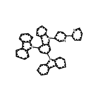 c1ccc(-c2ccc(-n3c4ccccc4c4c(-n5c6ccccc6c6ccccc65)cc(-n5c6ccccc6c6ccccc65)cc43)cn2)nc1